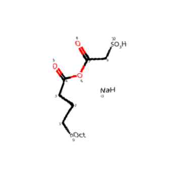 CCCCCCCCCCCC(=O)OC(=O)CS(=O)(=O)O.[NaH]